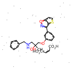 C[C@@](O)(CNCc1ccccc1)COc1cccc(-c2noc3ccsc23)c1.O=C(O)/C=C\C(=O)O